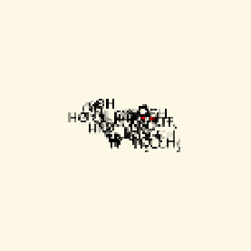 CC(C)(C)OC(=O)N(Cc1c(Cl)cccc1Cl)c1nc(-c2cnn(CC(=O)NC3CCN(C(=O)O)[C@@H](C(=O)O)C3)c2)cnc1N(C(=O)OC(C)(C)C)C(=O)OC(C)(C)C